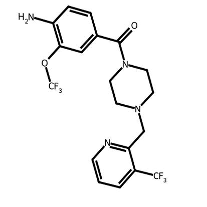 Nc1ccc(C(=O)N2CCN(Cc3ncccc3C(F)(F)F)CC2)cc1OC(F)(F)F